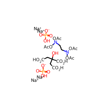 CC(=O)ON(CCN(OC(C)=O)OC(C)=O)OC(C)=O.O=C(O)CC(O)(CC(=O)O)C(=O)O.O=P([O-])([O-])O.O=P([O-])([O-])O.[Na+].[Na+].[Na+].[Na+]